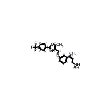 C/C(=C/CNO)c1cccc(OCc2nc(-c3ccc(C(F)(F)F)cc3)oc2C)c1